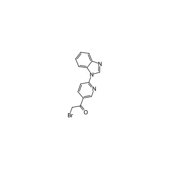 O=C(CBr)c1ccc(-n2cnc3ccccc32)nc1